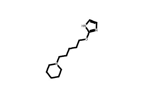 c1c[nH]c(OCCCCCN2CCCCC2)n1